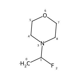 [CH2]C(F)N1CCOCC1